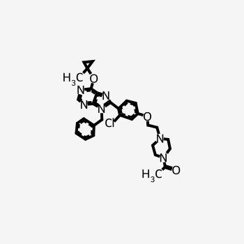 CC(=O)N1CCN(CCOc2ccc(-c3nc4c(OC5(C)CC5)ncnc4n3Cc3ccccc3)c(Cl)c2)CC1